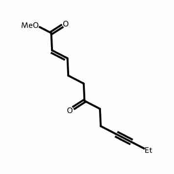 CCC#CCCC(=O)CCC=CC(=O)OC